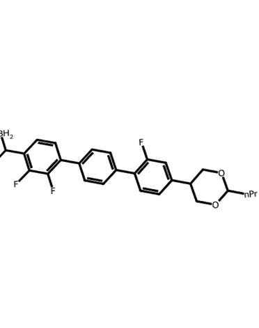 BC(C)c1ccc(-c2ccc(-c3ccc(C4COC(CCC)OC4)cc3F)cc2)c(F)c1F